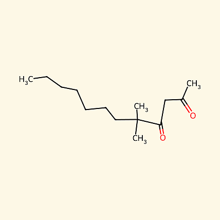 CCCCCCCC(C)(C)C(=O)CC(C)=O